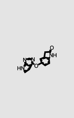 O=C1Cc2cc(Oc3ncnc4[nH]ccc34)ccc2N1